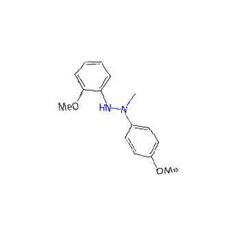 COc1ccc(N(C)Nc2ccccc2OC)cc1